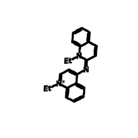 CCn1c(=Nc2cc[n+](CC)c3ccccc23)ccc2ccccc21